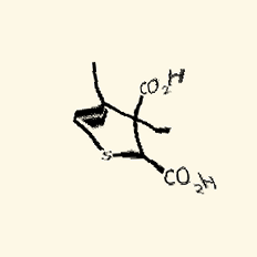 CC1=CSC(C(=O)O)C1(C)C(=O)O